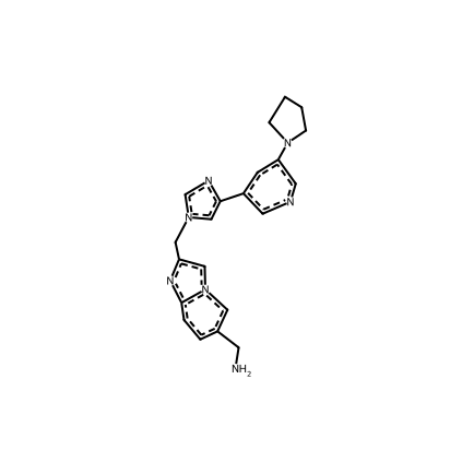 NCc1ccc2nc(Cn3cnc(-c4cncc(N5CCCC5)c4)c3)cn2c1